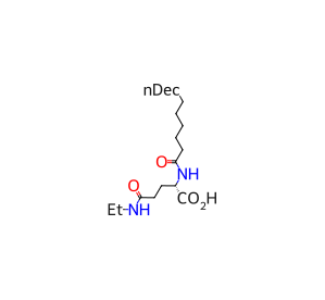 CCCCCCCCCCCCCCCC(=O)N[C@@H](CCC(=O)NCC)C(=O)O